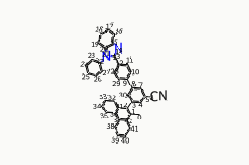 Cc1c(-c2cc(C#N)cc(-c3ccc(-c4nc5ccccc5n4-c4ccccc4)cc3)c2)c2ccccc2c2ccccc12